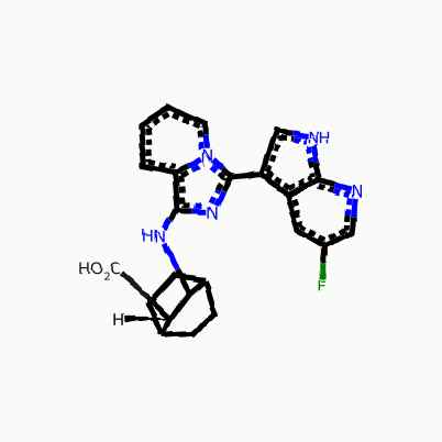 O=C(O)[C@H]1C2CCC(CC2)C1Nc1nc(-c2c[nH]c3ncc(F)cc23)n2ccccc12